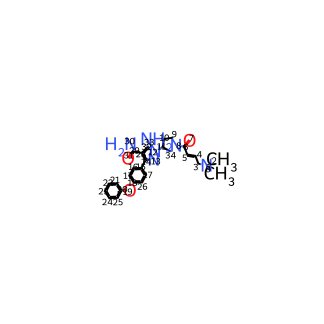 CN(C)CC=CC(=O)N1CCC(n2nc(-c3ccc(Oc4ccccc4)cc3)c(C(N)=O)c2N)C1